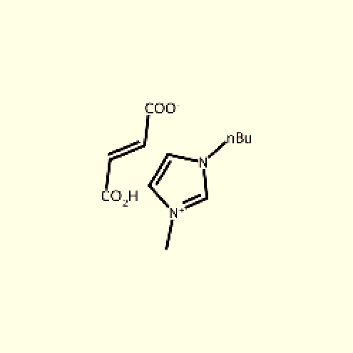 CCCCn1cc[n+](C)c1.O=C([O-])C=CC(=O)O